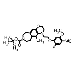 [C-]#[N+]c1cc(F)c(OCCN2CCOc3cc4c(c(C)c32)CCN(C(=O)OC(C)(C)C)CC4)cc1OC